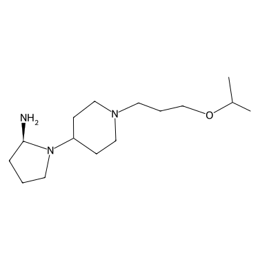 CC(C)OCCCN1CCC(N2CCC[C@H]2N)CC1